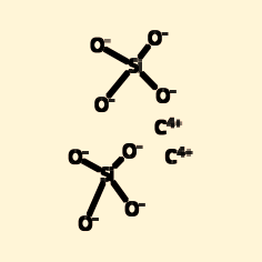 [C+4].[C+4].[O-][Si]([O-])([O-])[O-].[O-][Si]([O-])([O-])[O-]